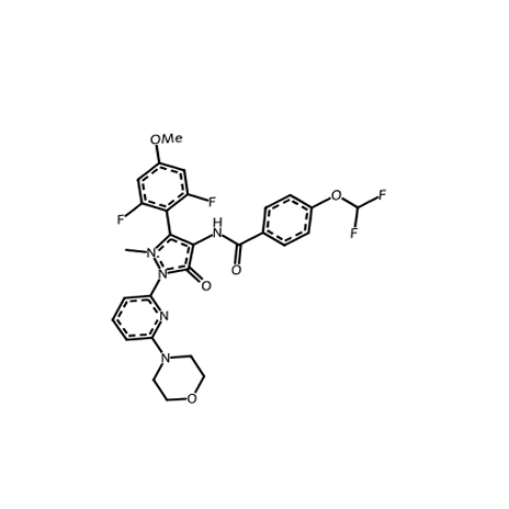 COc1cc(F)c(-c2c(NC(=O)c3ccc(OC(F)F)cc3)c(=O)n(-c3cccc(N4CCOCC4)n3)n2C)c(F)c1